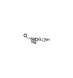 c1ccc(CCCNc2ncnc3cc(OCC4CCNCC4)ccc23)cc1